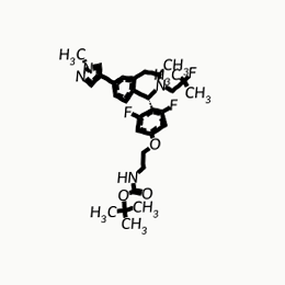 C[C@@H]1Cc2cc(-c3cnn(C)c3)ccc2[C@@H](c2c(F)cc(OCCNC(=O)OC(C)(C)C)cc2F)N1CC(C)(C)F